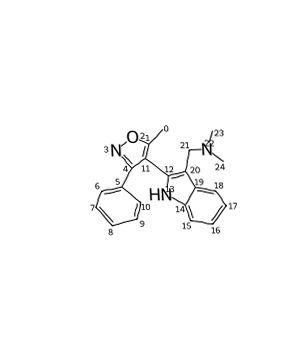 Cc1onc(-c2ccccc2)c1-c1[nH]c2ccccc2c1CN(C)C